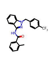 Cc1ccccc1C(=O)Nc1nn(Cc2ccc(C(F)(F)F)cc2)c2ccccc12